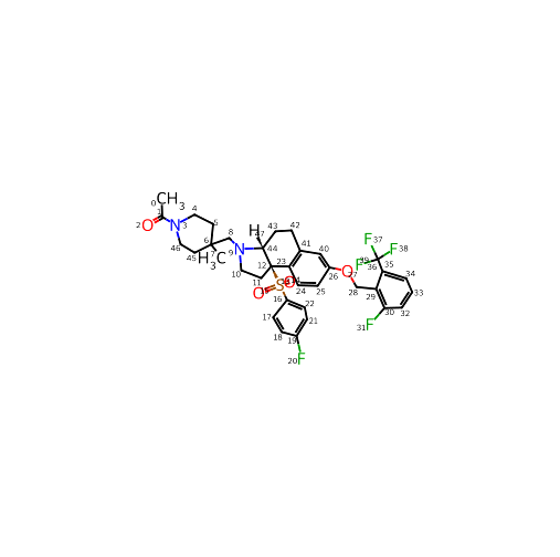 CC(=O)N1CCC(C)(CN2CC[C@@]3(S(=O)(=O)c4ccc(F)cc4)c4ccc(OCc5c(F)cccc5C(F)(F)F)cc4CC[C@@H]23)CC1